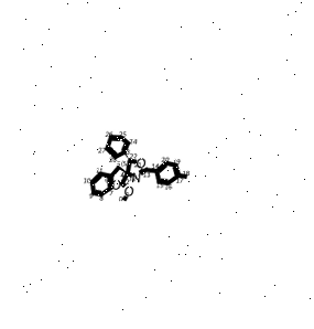 COC(=O)[C@@]1(Cc2ccccc2)N=C(c2ccc(C)cc2)O[C@H]1c1ccccc1